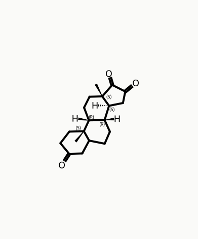 C[C@]12CCC(=O)CC1CC[C@@H]1[C@H]2CC[C@]2(C)C(=O)C(=O)C[C@@H]12